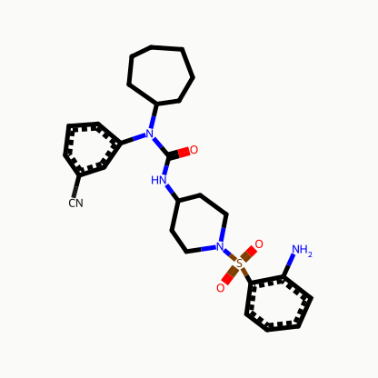 N#Cc1cccc(N(C(=O)NC2CCN(S(=O)(=O)c3ccccc3N)CC2)C2CCCCCC2)c1